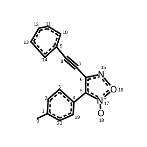 Cc1ccc(-c2c(C#Cc3ccccc3)no[n+]2[O-])cc1